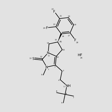 Cn1c(CCNC(C)(C)C)c2n(c1=S)C[C@@H](c1c(F)ccc(F)c1F)C2.F